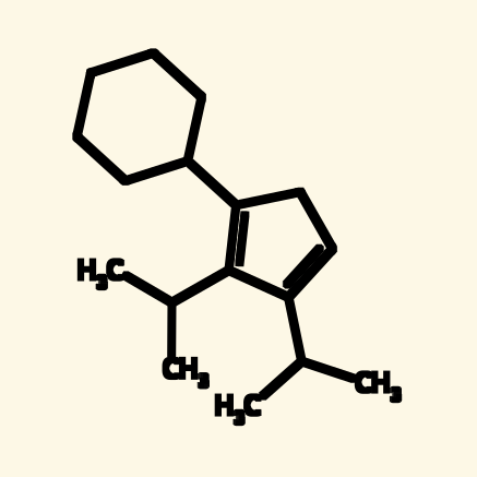 CC(C)C1=CCC(C2CCCCC2)=C1C(C)C